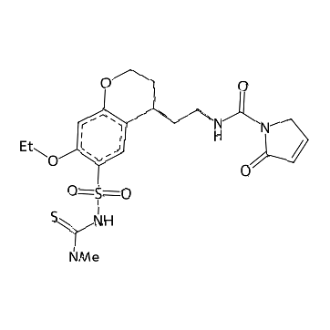 CCOc1cc2c(cc1S(=O)(=O)NC(=S)NC)C(CCNC(=O)N1CC=CC1=O)CCO2